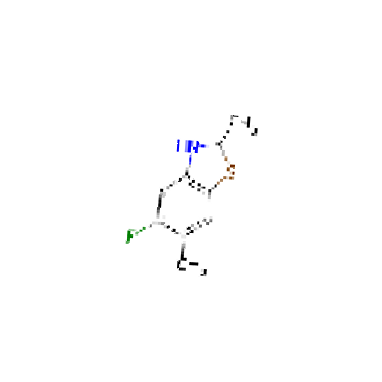 Cc1cc2c(cc1F)NC(C)S2